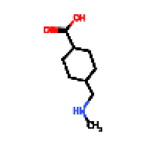 CNCC1CCC(C(=O)O)CC1